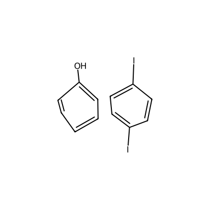 Ic1ccc(I)cc1.Oc1ccccc1